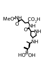 C=C(/C=C(\C)N[C@H]1CNC(C(=O)N[C@@H](CCC(=O)NOC)C(=O)O)C1)B(O)O